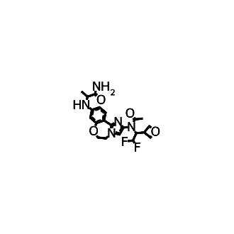 CC(=O)N(c1cn2c(n1)-c1ccc(NC(C)C(N)=O)cc1OCC2)C(C(F)F)C1COC1